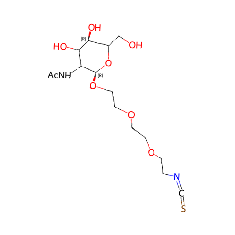 CC(=O)NC1C(O)[C@@H](O)C(CO)O[C@H]1OCCOCCOCCN=C=S